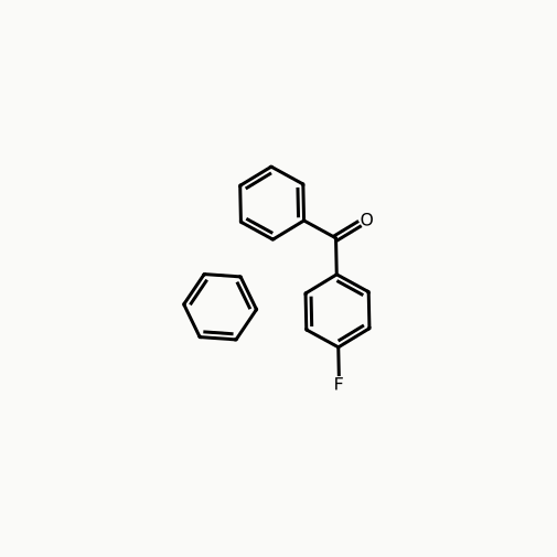 O=C(c1ccccc1)c1ccc(F)cc1.c1ccccc1